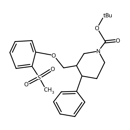 CC(C)(C)OC(=O)N1CCC(c2ccccc2)C(COc2ccccc2S(C)(=O)=O)C1